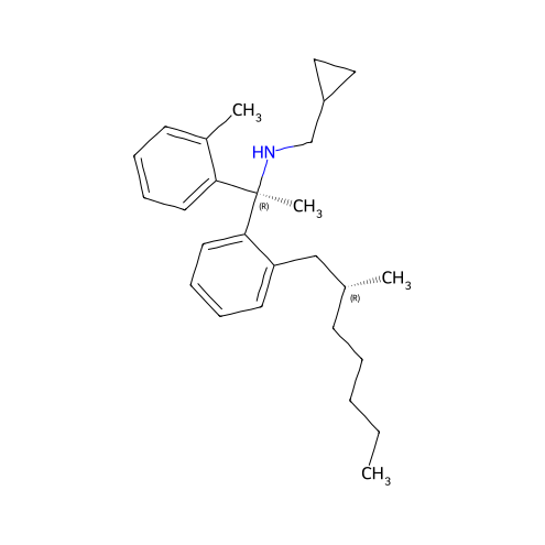 CCCCC[C@@H](C)Cc1ccccc1[C@](C)(NCC1CC1)c1ccccc1C